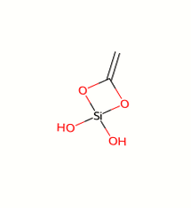 C=C1O[Si](O)(O)O1